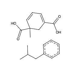 CC(C)Cc1ccccc1.CC1(C(=O)O)C=CC=C(C(=O)O)C1